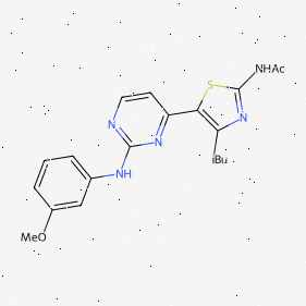 CCC(C)c1nc(NC(C)=O)sc1-c1ccnc(Nc2cccc(OC)c2)n1